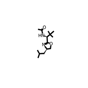 CC(=O)N[C@H](C1=N[C@H](CC(C)C)CO1)C(C)(C)C